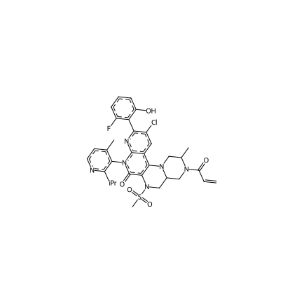 C=CC(=O)N1CC2CN(S(C)(=O)=O)c3c(c4cc(Cl)c(-c5c(O)cccc5F)nc4n(-c4c(C)ccnc4C(C)C)c3=O)N2CC1C